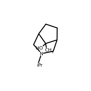 CC(C)N1CC2CCC(C1)C2(C)O